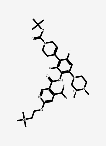 C[C@H]1CN(c2cc(F)c(C3=CCN(C(=O)OC(C)(C)C)CC3)c(F)c2NC(=O)c2cnc(OCC[Si](C)(C)C)cc2C(F)F)CCN1C